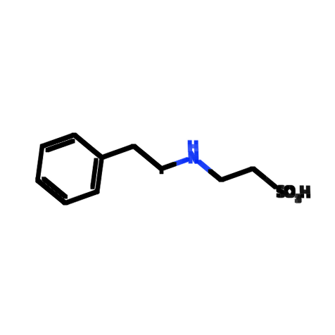 O=S(=O)(O)CCN[CH]Cc1ccccc1